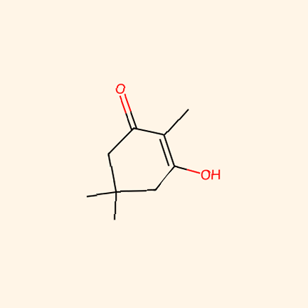 CC1=C(O)CC(C)(C)CC1=O